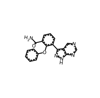 NC(=O)c1cccc(-c2n[nH]c3ncncc23)c1Oc1ccccc1